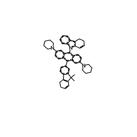 CC1(C)C2=C(CCC=C2)c2ccc(-c3c4cc(N5CCCCC5)ccc4c(-n4c5c(c6ccccc64)CCC=C5)c4cc(N5CCCCC5)ccc34)cc21